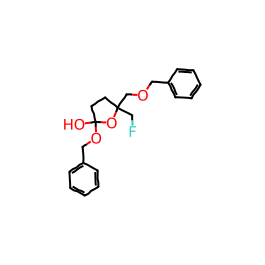 OC1(OCc2ccccc2)CCC(CF)(COCc2ccccc2)O1